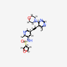 Cc1ncc(C#Cc2c(C)ncnc2N2CCOCC2)cc1N[S+]([O-])c1ccoc1